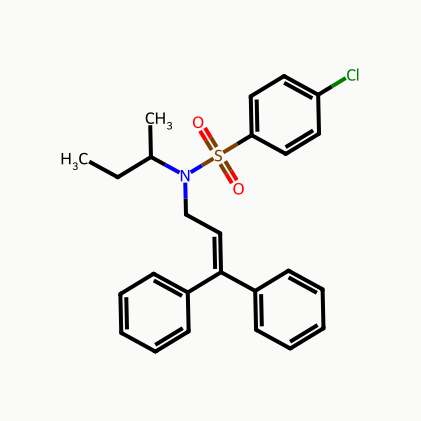 CCC(C)N(CC=C(c1ccccc1)c1ccccc1)S(=O)(=O)c1ccc(Cl)cc1